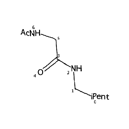 CCCC(C)CNC(=O)CNC(C)=O